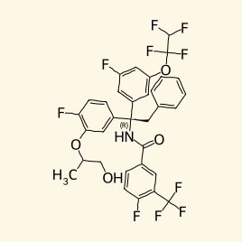 CC(CO)Oc1cc([C@@](Cc2ccccc2)(NC(=O)c2ccc(F)c(C(F)(F)F)c2)c2cc(F)cc(OC(F)(F)C(F)F)c2)ccc1F